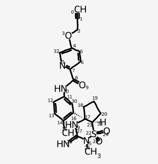 C#CCOc1ccc(C(=O)Nc2ccc(C)c([C@]34CCC[C@H]3S(=O)(=O)N(C)C(=N)N4)c2)nc1